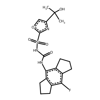 CC(C)(O)c1coc(S(=O)(=O)NC(=O)Nc2c3c(c(F)c4c2CCC4)CCC3)n1